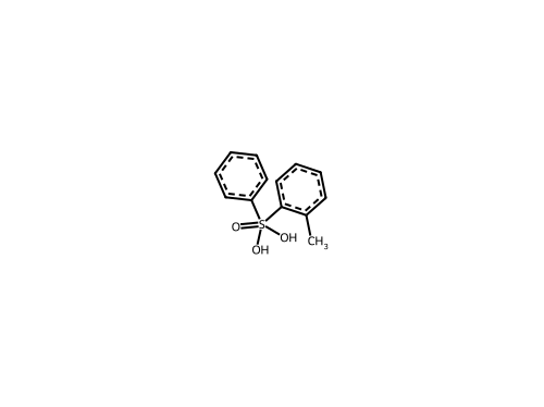 Cc1ccccc1S(=O)(O)(O)c1ccccc1